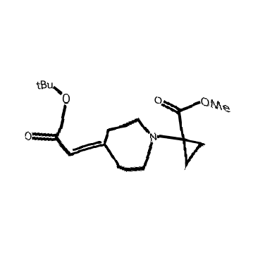 COC(=O)C1(N2CCC(=CC(=O)OC(C)(C)C)CC2)CC1